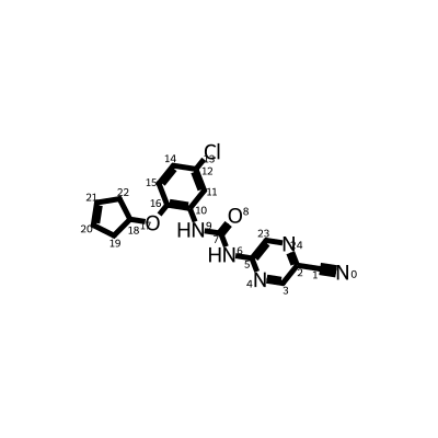 N#Cc1cnc(NC(=O)Nc2cc(Cl)ccc2OC2CC=CC2)cn1